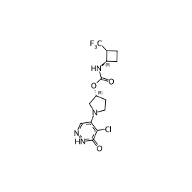 O=C(N[C@@H]1CCC1C(F)(F)F)O[C@@H]1CCN(c2cn[nH]c(=O)c2Cl)C1